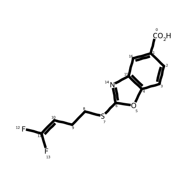 O=C(O)c1ccc2oc(SCCC=C(F)F)nc2c1